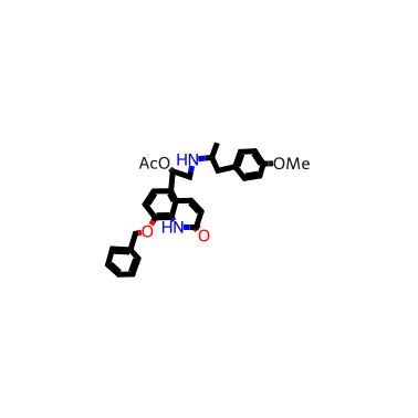 COc1ccc(CC(C)NCC(OC(C)=O)c2ccc(OCc3ccccc3)c3[nH]c(=O)ccc23)cc1